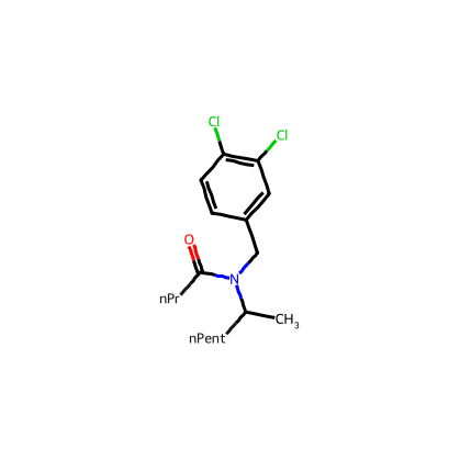 CCCCCC(C)N(Cc1ccc(Cl)c(Cl)c1)C(=O)CCC